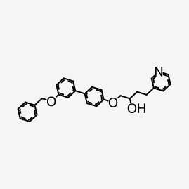 OC(CCc1cccnc1)COc1ccc(-c2cccc(OCc3ccccc3)c2)cc1